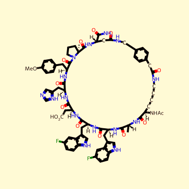 COc1ccc(C[C@@H]2NC(=O)[C@H](Cc3cnc[nH]3)NC(=O)[C@H](CC(=O)O)NC(=O)[C@H](Cc3c[nH]c4ccc(F)cc34)NC(=O)[C@H](Cc3c[nH]c4ccc(F)cc34)NC(=O)[C@@H](C)NC(=O)[C@H](NC(C)=O)CCCCNC(=O)Cc3ccc(cc3)CNC(=O)C[C@@H](C(N)=O)NC(=O)[C@]3(C)CCCN3C2=O)cc1